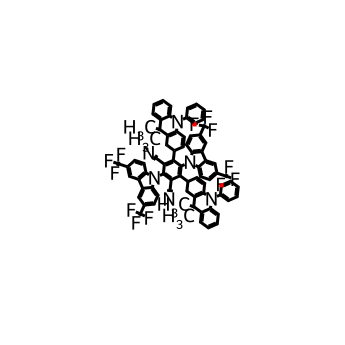 CC1(C)C2=C(C=CC(c3c(C#N)c(-n4c5ccc(C(F)(F)F)cc5c5cc(C(F)(F)F)ccc54)c(C#N)c(C4C=CC5=C(C4)C(C)(C)c4ccccc4N5c4ccccc4)c3-n3c4ccc(C(F)(F)F)cc4c4cc(C(F)(F)F)ccc43)C2)N(c2ccccc2)c2ccccc21